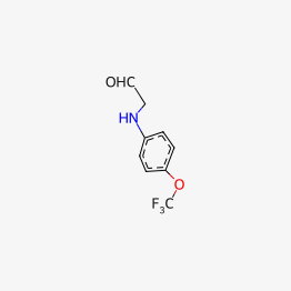 O=CCNc1ccc(OC(F)(F)F)cc1